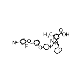 Cc1cc(C(=O)O)cc2c1nc(CN1CCC(Oc3cccc(COc4ccc(C#N)cc4F)c3)CC1)n2C[C@@H]1CCCCO1